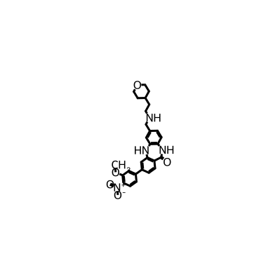 COc1cc(-c2ccc3c(c2)Nc2cc(CNCCC4CCOCC4)ccc2NC3=O)ccc1[N+](=O)[O-]